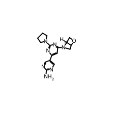 Nc1ncc(-c2cc(N3CC4OC[C@H]43)nc(N3CCCC3)n2)cn1